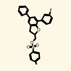 Cc1ccc(S(=O)(=O)OCC2Cc3cc(-c4ccccc4)cc(-c4cccc(F)c4)c3O2)cc1